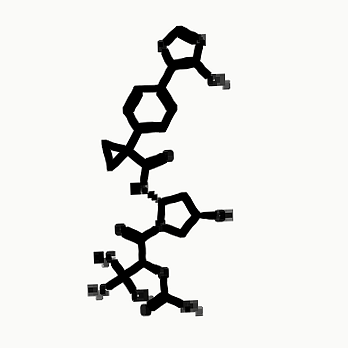 Cc1ncsc1-c1ccc(C2(C(=O)N[C@@H]3C[C@@H](O)CN3C(=O)[C@@H](OC(N)=O)C(C)(C)C)CC2)cc1